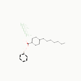 CCCCCCCC1CCC(C(=O)OSc2ccccc2)CC1.F.F.F.F.F